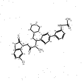 CC(=O)Nc1cccc(-c2ccc(C(CN3CCOCC3)N(C)C(=O)Cn3c(=O)sc4ccc(Cl)cc43)cc2)c1